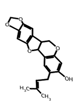 CC(C)=CCc1cc2c(cc1O)OCC1c3cc4c(cc3OC21)OCO4